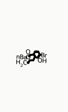 C=CCCc1c(C(=O)OCCCC)ccc(Br)c1O